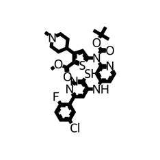 COC(=O)c1sc(N(C(=O)OC(C)(C)C)c2cc(Nc3cc(-c4cc(Cl)ccc4F)nnc3S)ccn2)cc1C1CCN(C)CC1